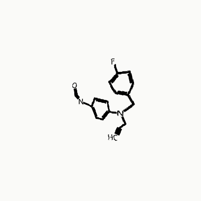 C#CCN(Cc1ccc(F)cc1)c1ccc(N=C=O)cc1